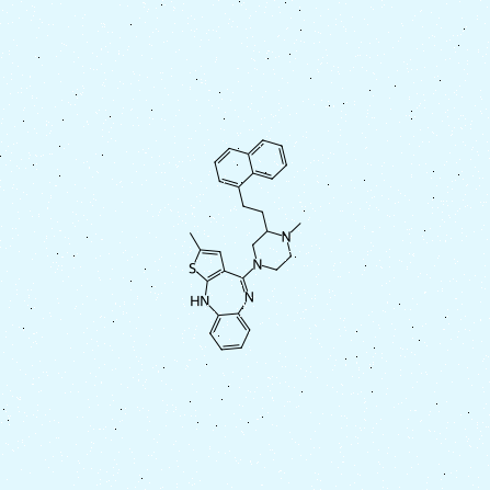 Cc1cc2c(s1)Nc1ccccc1N=C2N1CCN(C)C(CCc2cccc3ccccc23)C1